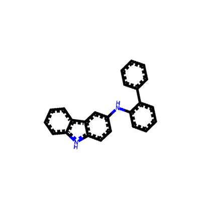 c1ccc(-c2ccccc2Nc2ccc3[nH]c4ccccc4c3c2)cc1